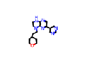 c1ncc(-c2cnc3c(n2)N(CCC2CCOCC2)CCN3)cn1